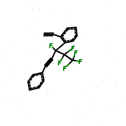 C#Cc1ccccc1C(F)(C#Cc1ccccc1)C(F)(F)C(F)(F)F